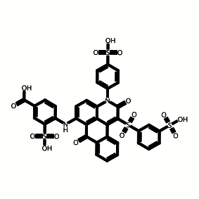 O=C(O)c1ccc(Nc2ccc3c4c2C(=O)c2ccccc2-c4c(S(=O)(=O)c2cccc(S(=O)(=O)O)c2)c(=O)n3-c2ccc(S(=O)(=O)O)cc2)c(S(=O)(=O)O)c1